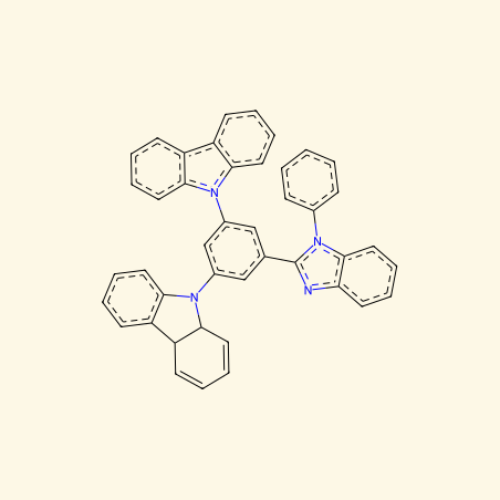 C1=CC2c3ccccc3N(c3cc(-c4nc5ccccc5n4-c4ccccc4)cc(-n4c5ccccc5c5ccccc54)c3)C2C=C1